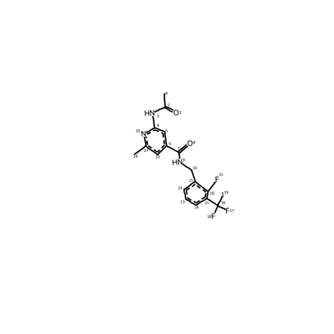 CC(=O)Nc1cc(C(=O)NCc2cccc(C(F)(F)I)c2F)cc(C)n1